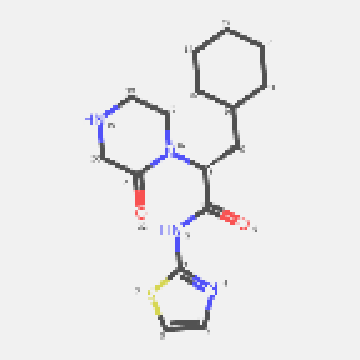 O=C(Nc1nccs1)[C@H](CC1CCCCC1)N1CCNCC1=O